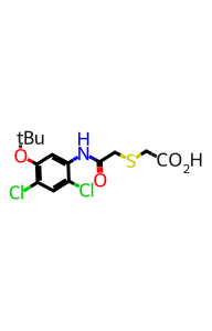 CC(C)(C)Oc1cc(NC(=O)CSCC(=O)O)c(Cl)cc1Cl